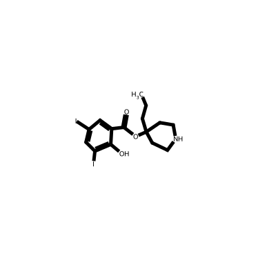 CCCC1(OC(=O)c2cc(I)cc(I)c2O)CCNCC1